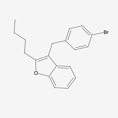 CCCCc1oc2ccccc2c1Cc1ccc(Br)cc1